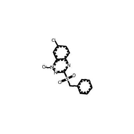 O=S(=O)(Cc1ccccc1)c1nc2ccc(Cl)cc2[n+]([O-])n1